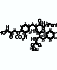 CCCCCNC(=O)C(Cc1ccc(OCC(=O)NO)c(C(=O)O)c1)NC(=O)C(Cc1ccccc1)NC(=O)OC(C)(C)C